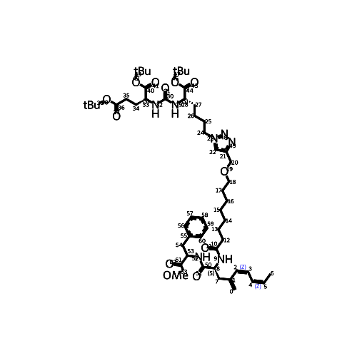 C=C(/C=C\C=C/C)C[C@H](NC(=O)CCCCCCCOCc1cn(CCCC[C@H](NC(=O)N[C@@H](CCC(=O)OC(C)(C)C)C(=O)OC(C)(C)C)C(=O)OC(C)(C)C)nn1)C(=O)NC(Cc1ccccc1)C(=O)OC